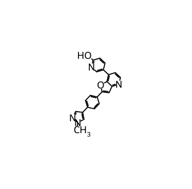 Cn1cc(-c2ccc(-c3cc4nccc(-c5ccc(O)nc5)c4o3)cc2)cn1